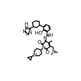 CC1=C(CN(C)C)C(=O)N(C2CCN(C3CC3)CC2)C(=O)/C1=N/Nc1cccc(C2CCCC(c3nnn[nH]3)C2)c1O